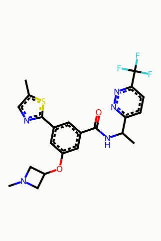 Cc1cnc(-c2cc(OC3CN(C)C3)cc(C(=O)NC(C)c3ccc(C(F)(F)F)nn3)c2)s1